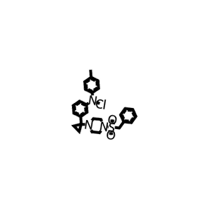 Cc1ccc(N(Cl)c2cccc(C3(N4CCN(S(=O)(=O)Cc5ccccc5)CC4)CC3)c2)cc1